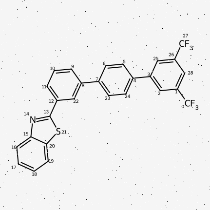 FC(F)(F)c1cc(-c2ccc(-c3cccc(-c4nc5ccccc5s4)c3)cc2)cc(C(F)(F)F)c1